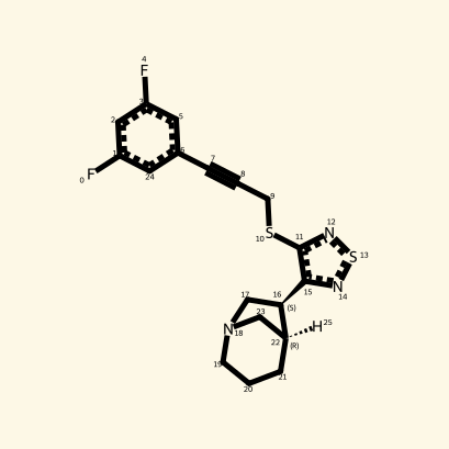 Fc1cc(F)cc(C#CCSc2nsnc2[C@@H]2CN3CCC[C@H]2C3)c1